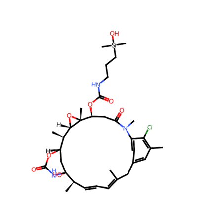 C/C1=C\C=C\[C@@H](C)[C@@]2(O)C[C@H](OC(=O)N2)[C@@H](C)[C@@H]2O[C@]2(C)[C@@H](OC(=O)NCCC[Si](C)(C)O)CC(=O)N(C)c2cc(cc(C)c2Cl)C1